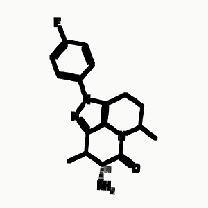 CC1c2nn(-c3ccc(F)cc3)c3c2N(C(=O)[C@@H]1N)C(C)CC3